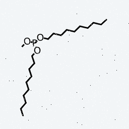 CCCCCCCCCCOP(OC)OCCCCCCCCCC